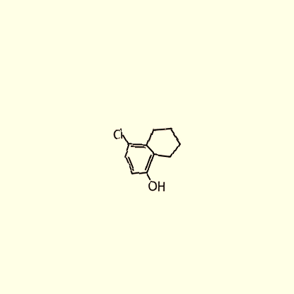 Oc1ccc(Cl)c2c1CCCC2